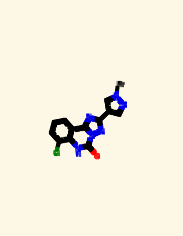 CC(C)n1cc(-c2nc3c4cccc(Cl)c4[nH]c(=O)n3n2)cn1